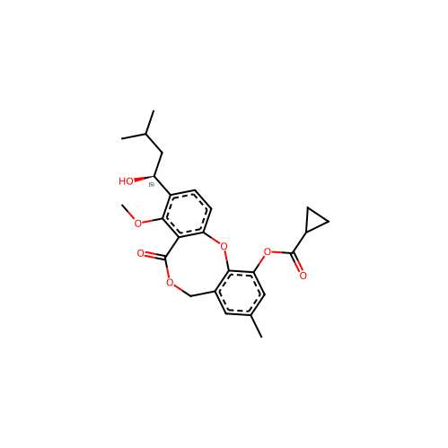 COc1c([C@@H](O)CC(C)C)ccc2c1C(=O)OCc1cc(C)cc(OC(=O)C3CC3)c1O2